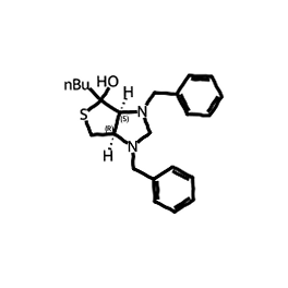 CCCCC1(O)SC[C@H]2[C@@H]1N(Cc1ccccc1)CN2Cc1ccccc1